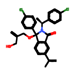 C=C(CO)CO[C@]1(c2ccc(Cl)cc2)c2ccc(C(=C)C)cc2C(=O)N1[C@@H](C)c1ccc(Cl)cc1